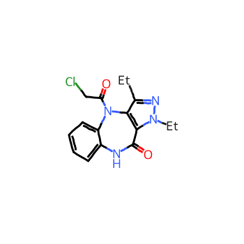 CCc1nn(CC)c2c1N(C(=O)CCl)c1ccccc1NC2=O